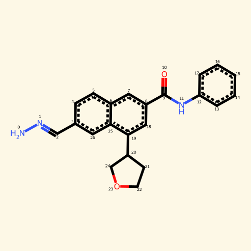 NN=Cc1ccc2cc(C(=O)Nc3ccccc3)cc(C3CCOC3)c2c1